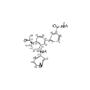 CNC(=O)c1cccc(-c2ccc3c(c2)[C@H](Nc2cccnc2)C[C@H](C)N3C(C)=O)c1